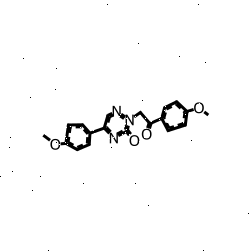 COc1ccc(C(=O)Cn2ncc(-c3ccc(OC)cc3)nc2=O)cc1